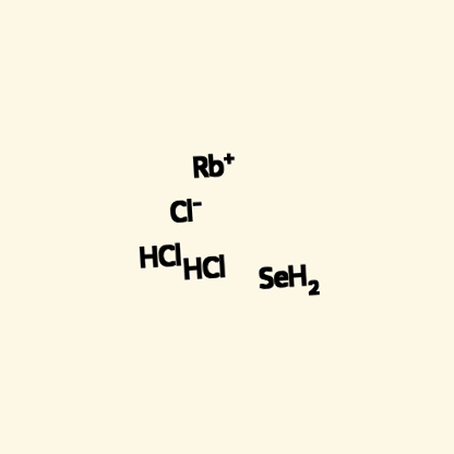 Cl.Cl.[Cl-].[Rb+].[SeH2]